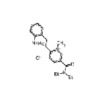 CCN(CC)C(=O)c1ccc(CCc2ccccc2NC(C)=O)[n+](C)c1.[Cl-]